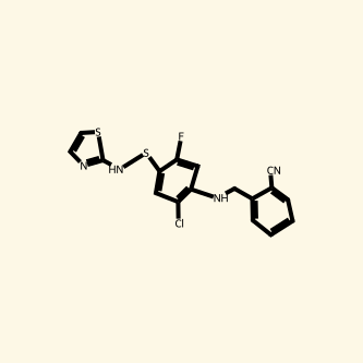 N#Cc1ccccc1CNc1cc(F)c(SNc2nccs2)cc1Cl